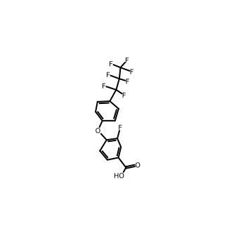 O=C(O)c1ccc(Oc2ccc(C(F)(F)C(F)(F)C(F)(F)F)cc2)c(F)c1